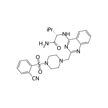 CC(C)[C@H](Nc1nc(CN2CCN(S(=O)(=O)c3ccccc3C#N)CC2)nc2ccccc12)C(N)=O